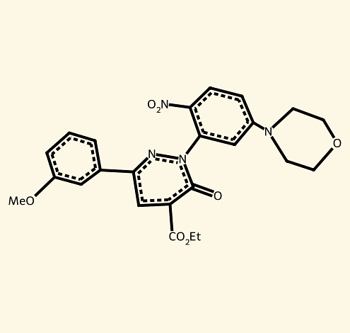 CCOC(=O)c1cc(-c2cccc(OC)c2)nn(-c2cc(N3CCOCC3)ccc2[N+](=O)[O-])c1=O